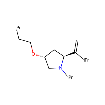 C=C(C(C)C)[C@@H]1C[C@@H](OCCC(C)C)CN1C(C)C